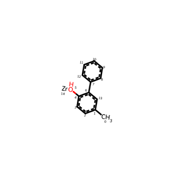 Cc1ccc(O)c(-c2ccccc2)c1.[Zr]